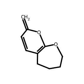 C=C1C=CC2=C(OCCCC2)O1